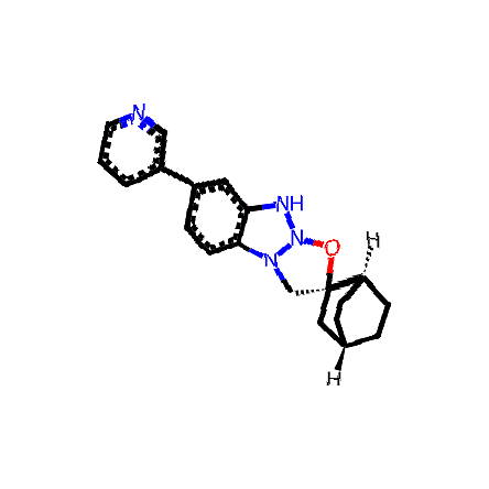 c1cncc(-c2ccc3c(c2)NN2O[C@]4(CN32)C[C@H]2CC[C@H]4CC2)c1